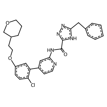 O=C(Nc1cc(-c2cc(OCCC3CCCOC3)ccc2Cl)ccn1)c1nnc(Cc2ccccc2)[nH]1